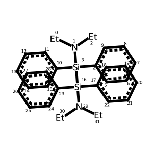 CCN(CC)[Si](c1ccccc1)(c1ccccc1)[Si](c1ccccc1)(c1ccccc1)N(CC)CC